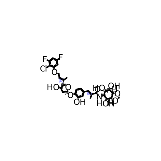 C/C(=C\c1ccc(O[C@H]2C[C@H](O)[C@@H](/C(C)=C/COc3cc(F)cc(F)c3Cl)O2)c(O)c1)C(=O)N[C@@H]1[C@H](O)[C@@H](O)[C@H]2OCO[C@H]2[C@@H]1O